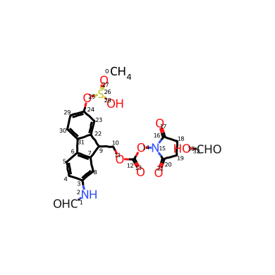 C.O=CNc1ccc2c(c1)C(COC(=O)ON1C(=O)CCC1=O)c1cc(OS(=O)O)ccc1-2.O=CO